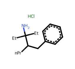 CCCC(Cc1ccccc1)C(N)(CC)CC.Cl